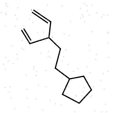 [CH]=CC(C=C)CCC1CCCC1